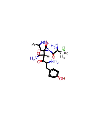 CC(=O)C(C(N)=O)(C(=O)C(N)Cc1ccc(O)cc1)C1(C(=O)C(N)C(C)C)C(=O)N1C(=O)C(C)N.CC(=O)Cl